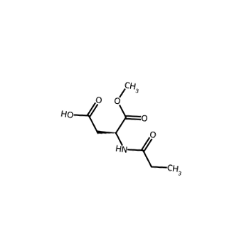 CCC(=O)N[C@@H](CC(=O)O)C(=O)OC